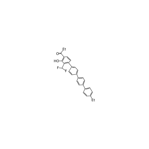 CCC(=O)c1ccc(-c2ccc(-c3ccc(-c4ccc(CC)cc4)cc3)cc2)c(C(F)F)c1O